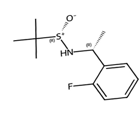 C[C@@H](N[S@@+]([O-])C(C)(C)C)c1ccccc1F